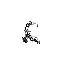 COc1ccc(CN2CCN(c3nc(-c4cnn5ccccc45)nc(N[C@@H]4CCCN(C(=O)CC#N)C4)c3F)CC2)cc1